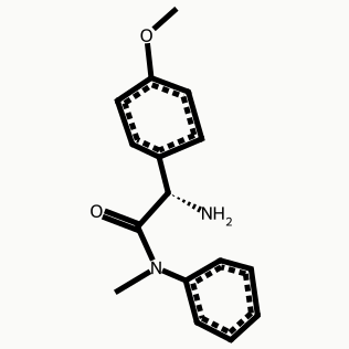 COc1ccc([C@H](N)C(=O)N(C)c2ccccc2)cc1